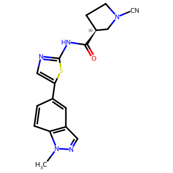 Cn1ncc2cc(-c3cnc(NC(=O)[C@H]4CCN(C#N)C4)s3)ccc21